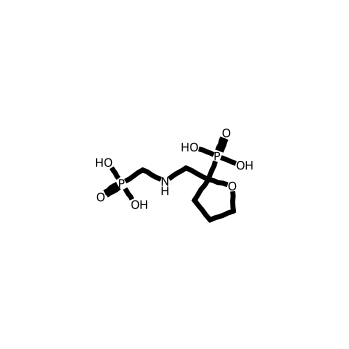 O=P(O)(O)CNCC1(P(=O)(O)O)CCCO1